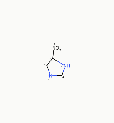 O=[N+]([O-])C1C[N]CN1